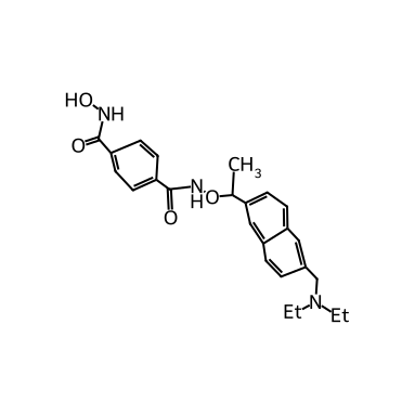 CCN(CC)Cc1ccc2cc(C(C)ONC(=O)c3ccc(C(=O)NO)cc3)ccc2c1